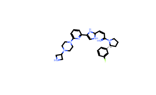 N=C(/C=C\C1NC=C(c2cccc(N3CCN(C4CNC4)CC3)n2)N1)N1CCC[C@@H]1c1cccc(F)c1